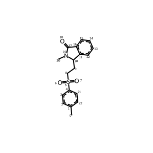 Cc1ccc(S(=O)(=O)CCC2c3ccccc3C(=O)N2C)cc1